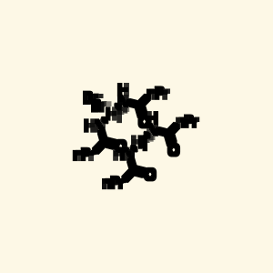 CCCC(=O)[NH][Hf+][NH]C(=O)CCC.CCCC(=O)[NH][Hf+][NH]C(=O)CCC.[Br-].[Br-]